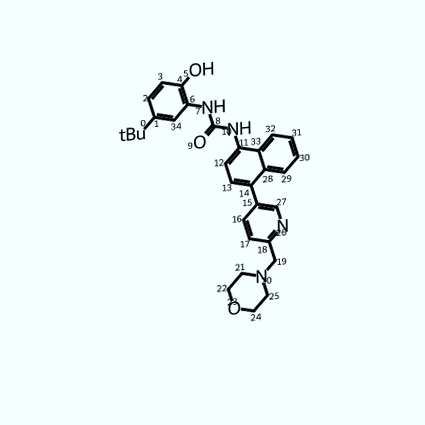 CC(C)(C)c1ccc(O)c(NC(=O)Nc2ccc(-c3ccc(CN4CCOCC4)nc3)c3ccccc23)c1